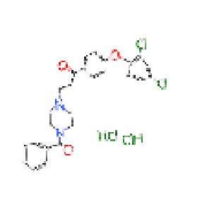 Cl.Cl.O=C(CCN1CCN(C(=O)c2ccccc2)CC1)c1ccc(Oc2ccc(Cl)cc2Cl)cc1